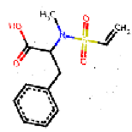 C=CS(=O)(=O)N(C)C(Cc1ccccc1)C(=O)O